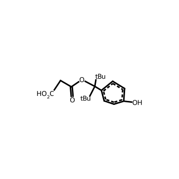 CC(C)(C)C(OC(=O)CC(=O)O)(c1ccc(O)cc1)C(C)(C)C